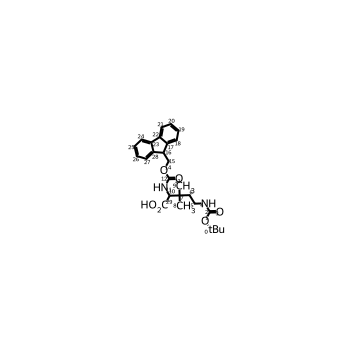 CC(C)(C)OC(=O)NCCC(C)(C)C(NC(=O)OCC1c2ccccc2-c2ccccc21)C(=O)O